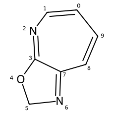 C1=CN=C2OCN=C2C=C1